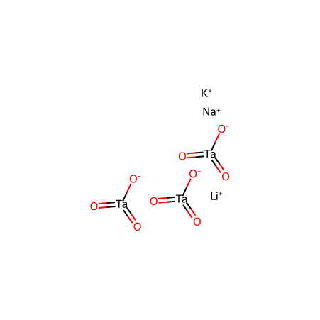 [K+].[Li+].[Na+].[O]=[Ta](=[O])[O-].[O]=[Ta](=[O])[O-].[O]=[Ta](=[O])[O-]